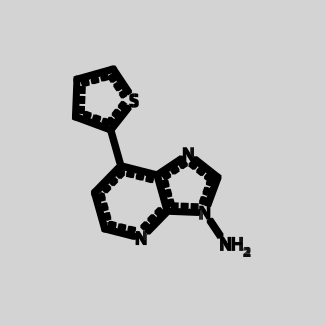 Nn1cnc2c(-c3cccs3)ccnc21